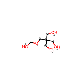 OCOCC(CO)(CO)CO